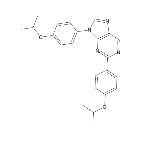 CC(C)Oc1ccc(-c2ncc3ncn(-c4ccc(OC(C)C)cc4)c3n2)cc1